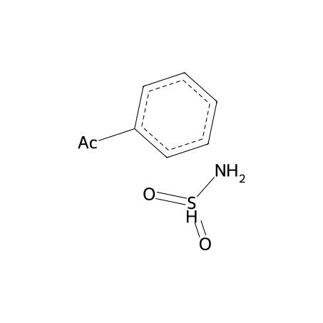 CC(=O)c1ccccc1.N[SH](=O)=O